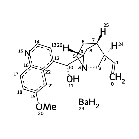 C=C[C@H]1C[N@]2CC[C@H]1C[C@H]2[C@H](O)c1ccnc2ccc(OC)cc12.[BaH2]